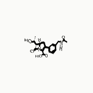 CC(=O)NCc1cccc(C2=C(C(=O)O)N3C(=O)[C@H]([C@@H](C)O)[C@H]3C2)c1